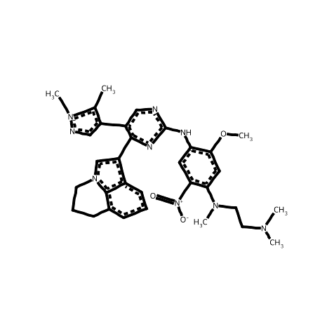 COc1cc(N(C)CCN(C)C)c([N+](=O)[O-])cc1Nc1ncc(-c2cnn(C)c2C)c(-c2cn3c4c(cccc24)CCC3)n1